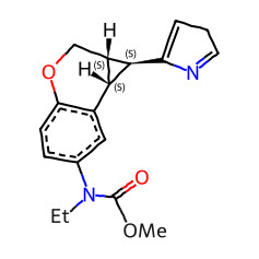 CCN(C(=O)OC)c1ccc2c(c1)[C@@H]1[C@H](CO2)[C@H]1C1=CCC=N1